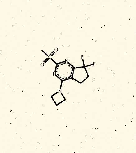 CS(=O)(=O)c1nc(N2CCC2)c2c(n1)C(F)(F)CC2